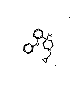 CC(=O)C1(c2ccccc2Oc2ccccc2)CCN(CC2CC2)CC1